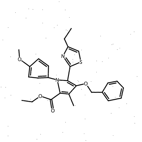 CCOC(=O)c1c(C)c(OCc2ccccc2)c(-c2nc(CC)cs2)n1-c1ccc(OC)cc1